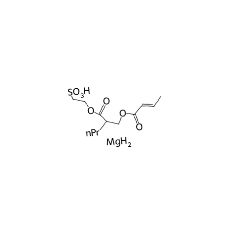 CC=CC(=O)OCC(CCC)C(=O)OCCS(=O)(=O)O.[MgH2]